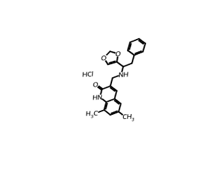 Cc1cc(C)c2[nH]c(=O)c(CNC(Cc3ccccc3)C3=COCO3)cc2c1.Cl